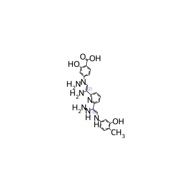 Cc1ccc(N/C=C(\NN)c2cccc(/C(N)=C/N(N)c3ccc(C(=O)O)c(O)c3)n2)cc1O